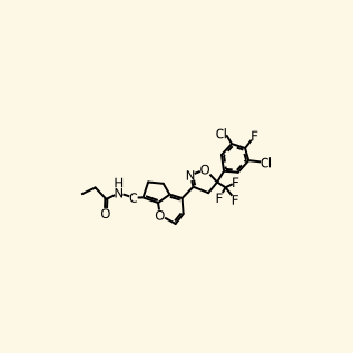 CCC(=O)NCC1=C2OC=CC(C3=NOC(c4cc(Cl)c(F)c(Cl)c4)(C(F)(F)F)C3)=C2CC1